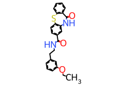 CCOc1cccc(CCNC(=O)c2ccc3c(c2)NC(=O)c2ccccc2S3)c1